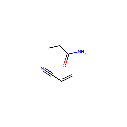 C=CC#N.CCC(N)=O